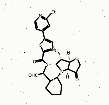 CCc1cc(-c2cnc(C(=O)NC(C=O)C3CCCC[C@@H]3N3C[C@H](Cl)[C@H]4OCC(=O)[C@H]43)s2)ccn1